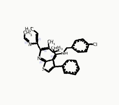 C\C=N/C(=C\C)C(/N=C1/SC=C(c2ccccc2)/C1=C(/C)NCc1ccc(Cl)cc1)=C(\C)CC